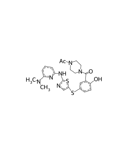 CC(=O)N1CCN(C(=O)c2cc(Sc3cnc(Nc4cccc(N(C)C)n4)s3)ccc2O)CC1